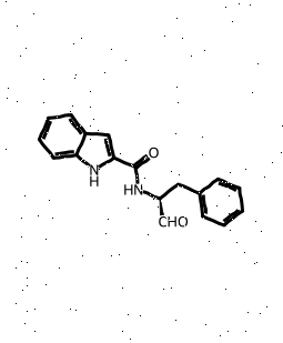 O=C[C@H](Cc1ccccc1)NC(=O)c1cc2ccccc2[nH]1